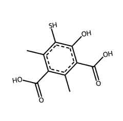 Cc1c(S)c(O)c(C(=O)O)c(C)c1C(=O)O